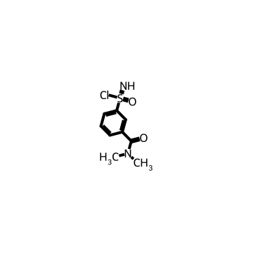 CN(C)C(=O)c1cccc(S(=N)(=O)Cl)c1